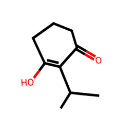 CC(C)C1=C(O)CCCC1=O